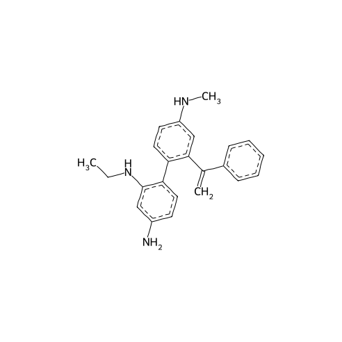 C=C(c1ccccc1)c1cc(NC)ccc1-c1ccc(N)cc1NCC